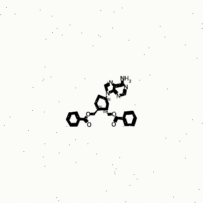 Nc1ncnc2c1ncn2[C@H]1CC[C@H](COC(=O)c2ccccc2)[C@@H](COC(=O)c2ccccc2)C1